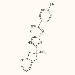 N#Cc1ccc(-c2ccc3[nH]c(C4(N)Cc5ccccc5C4)nc3c2)cc1